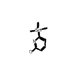 [CH3][Sn]([CH3])([CH3])[c]1cccc(Cl)n1